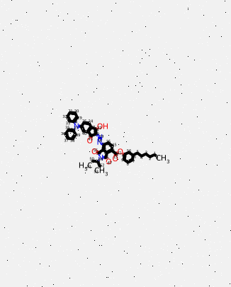 CCCCCCC1C=CC=C(OC(=O)c2ccc(N=NC3=C(O)c4ccc(N(c5ccccc5)c5ccccc5)cc4C3=O)c3c2C(=O)N(C(CC)CC)C3=O)C1